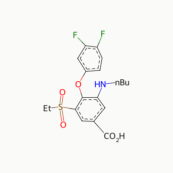 CCCCNc1cc(C(=O)O)cc(S(=O)(=O)CC)c1Oc1ccc(F)c(F)c1